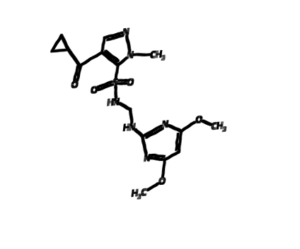 COc1cc(OC)nc(NCNS(=O)(=O)c2c(C(=O)C3CC3)cnn2C)n1